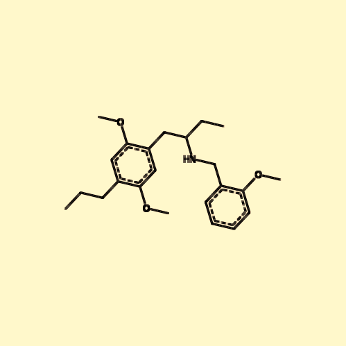 CCCc1cc(OC)c(CC(CC)NCc2ccccc2OC)cc1OC